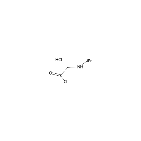 CC(C)NCC(=O)Cl.Cl